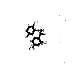 Cc1ccc(F)c(NC(C)c2ccc(Cl)cc2Cl)c1